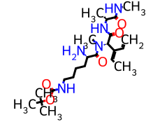 C=C/C(=C\C)[C@@H](C(=O)N[C@@H](C)C(=O)NC)N(C)C(=O)[C@@H](N)CCCCNC(=O)OC(C)(C)C